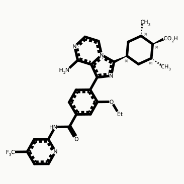 CCOc1cc(C(=O)Nc2cc(C(F)(F)F)ccn2)ccc1-c1nc([C@@H]2C[C@@H](C)[C@H](C(=O)O)[C@@H](C)C2)n2ccnc(N)c12